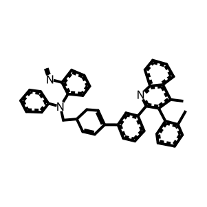 C=Nc1ccccc1N(CC1C=CC(c2cccc(-c3nc4ccccc4c(C)c3-c3ccccc3C)c2)=CC1)c1ccccc1